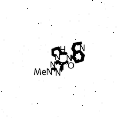 CNc1ncc2c(n1)N1CCC[C@H]1CN(c1cccc3ncccc13)C2=O